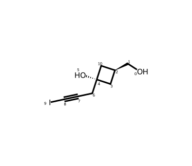 OC[C@H]1C[C@@](O)(CC#CI)C1